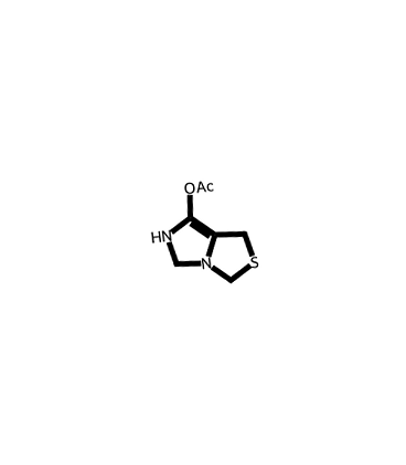 CC(=O)OC1=C2CSCN2CN1